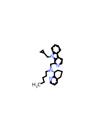 CCCCCN(Cc1nccc2c3ccccc3n(CC3CC3)c12)[C@H]1CCCc2cccnc21